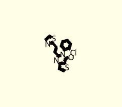 O=c1c2sccc2nc(C=Cc2nccs2)n1-c1ccccc1Cl